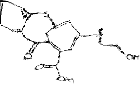 O=C(O)c1cc(SCCO)cc2sc3ccccc3c(=O)c12